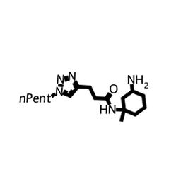 CCCCCn1cc(CCC(=O)NC2(C)CCCC(N)C2)nn1